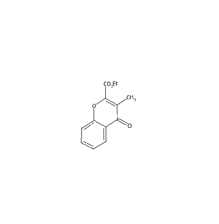 CCOC(=O)c1oc2ccccc2c(=O)c1C